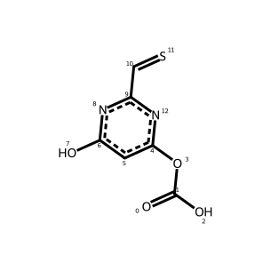 O=C(O)Oc1cc(O)nc(C=S)n1